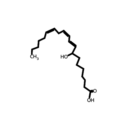 CCCCC/C=C\C/C=C\C=C\C(O)CCCCCCC(=O)O